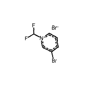 FC(F)[n+]1cccc(Br)c1.[Br-]